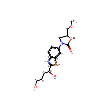 COCC1CN(c2ccc3nc(C(O)CCCO)sc3c2)C(=O)O1